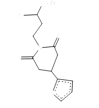 CCOC(=O)C(CC)CCN1C(=O)CC(c2cccs2)CC1=O